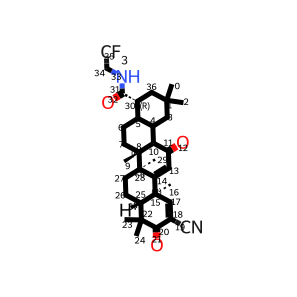 CC1(C)CC2C(CC[C@]3(C)C2C(=O)C=C2[C@@]4(C)C=C(C#N)C(=O)C(C)(C)[C@@H]4CC[C@]23C)[C@H](C(=O)NCC(F)(F)F)C1